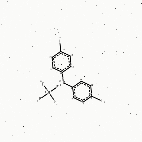 F[B-](F)(F)F.Ic1ccc([I+]c2ccc(I)cc2)cc1